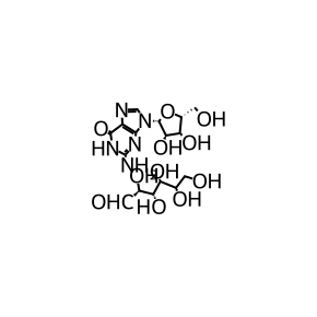 Nc1nc2c(ncn2[C@@H]2O[C@H](CO)[C@@H](O)[C@H]2O)c(=O)[nH]1.O=C[C@@H](O)[C@@H](O)[C@H](O)[C@H](O)CO